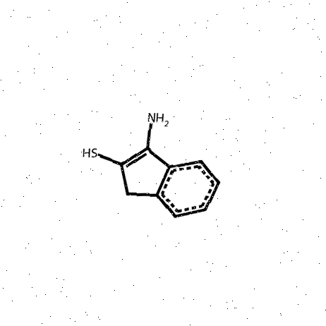 NC1=C(S)Cc2ccccc21